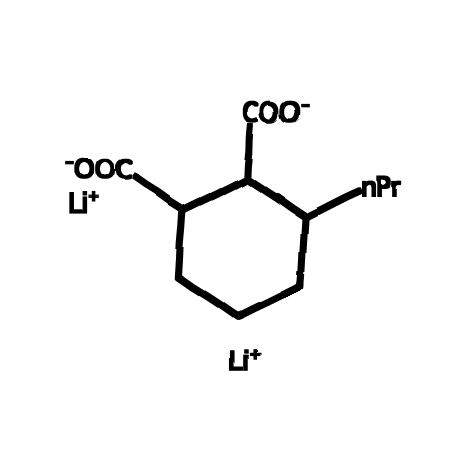 CCCC1CCCC(C(=O)[O-])C1C(=O)[O-].[Li+].[Li+]